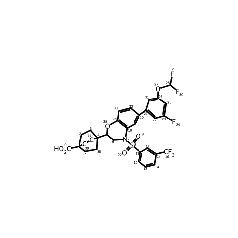 O=C(O)C12CCC(C3CN(S(=O)(=O)c4cccc(C(F)(F)F)c4)c4cc(-c5cc(F)cc(OC(F)F)c5)ccc4O3)(CC1)CC2